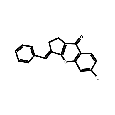 O=c1c2c(oc3cc(Cl)ccc13)/C(=C/c1ccccc1)CC2